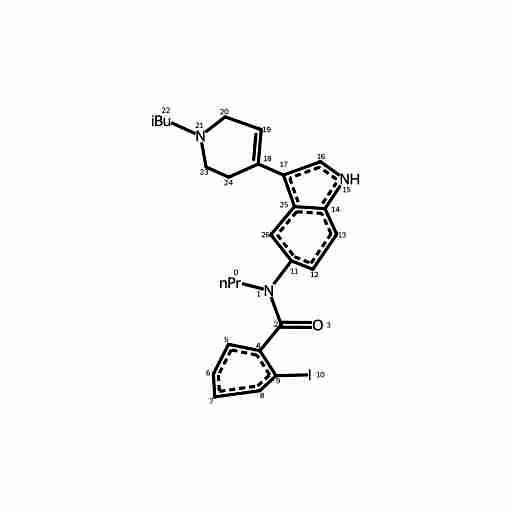 CCCN(C(=O)c1ccccc1I)c1ccc2[nH]cc(C3=CCN(C(C)CC)CC3)c2c1